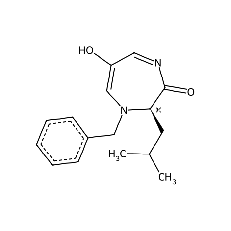 CC(C)C[C@@H]1C(=O)N=CC(O)=CN1Cc1ccccc1